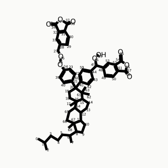 CC(C)CCCC(C)C1CCC2C3CCC4C(C)(CCC(c5ccc(OOCc6ccc7c(c6)C(=O)OC7=O)cc5)(c5ccc(C(OO)c6ccc7c(c6)C(=O)OC7=O)cc5)C4(C)C)C3CCC12C